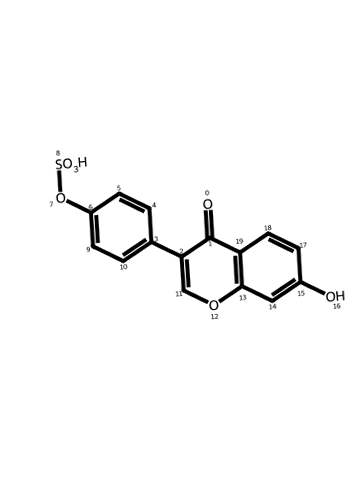 O=c1c(-c2ccc(OS(=O)(=O)O)cc2)coc2cc(O)ccc12